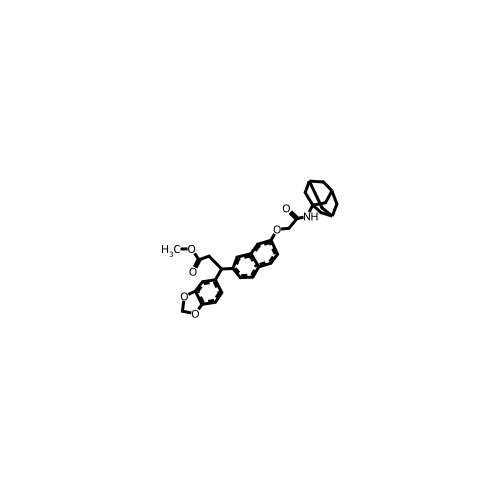 COC(=O)CC(c1ccc2c(c1)OCO2)c1ccc2ccc(OCC(=O)NC34CC5CC(CC(C5)C3)C4)cc2c1